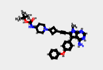 Cn1c(C#CC2CC(N3CCC(NC(=O)OC(C)(C)C)CC3)C2)c(-c2ccc(Oc3ccccc3)cc2)c2c(N)ncnc21